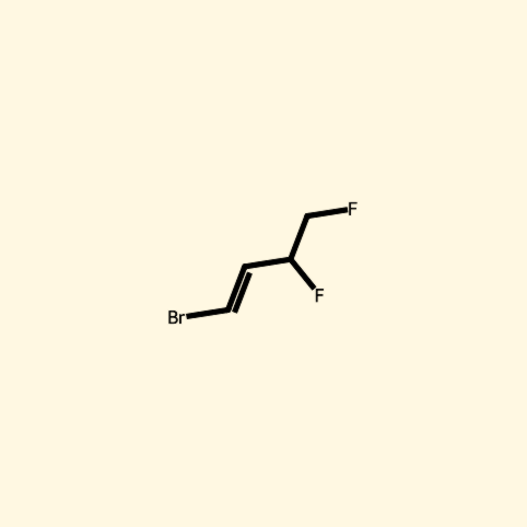 FCC(F)C=CBr